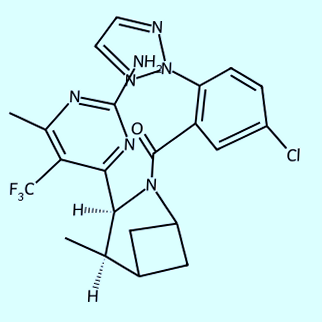 Cc1nc(N)nc([C@@H]2[C@H](C)C3CC(C3)N2C(=O)c2cc(Cl)ccc2-n2nccn2)c1C(F)(F)F